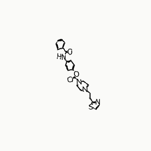 O=C(Nc1ccc(OC(=O)N2CCN(CCc3nccs3)CC2)cc1)c1ccccc1